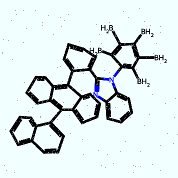 Bc1c(B)c(B)c(-n2c(-c3ccccc3-c3c4ccccc4c(-c4cccc5ccccc45)c4ccccc34)nc3ccccc32)c(B)c1B